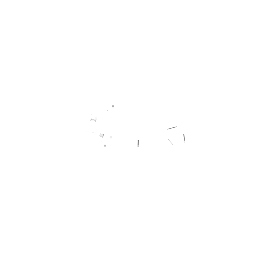 O=C(CCc1ccccc1)OC[C@H]1O[C@H](O)[C@H](O)[C@@H](O)[C@@H]1O